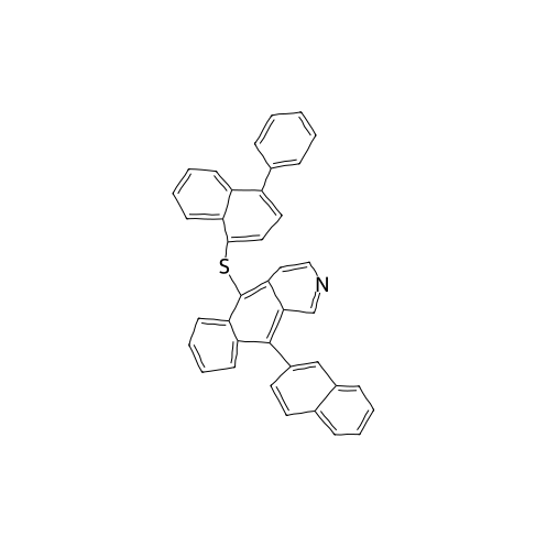 c1ccc(-c2ccc(Sc3c4ccccc4c(-c4ccc5ccccc5c4)c4cnccc34)c3ccccc23)cc1